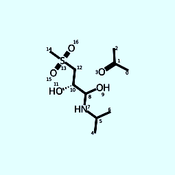 CC(C)=O.CC(C)NC(O)[C@H](O)CS(C)(=O)=O